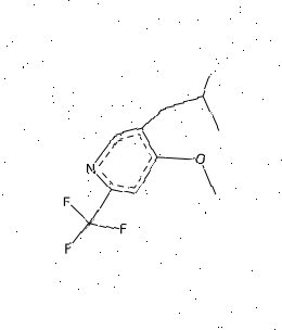 COc1cc(C(F)(F)F)ncc1CC(C)C